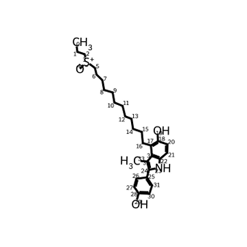 CCC[S+]([O-])CCCCCCCCCCCCc1c(O)ccc2[nH]c(-c3ccc(O)cc3)c(C)c12